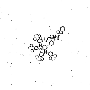 CC1(C)c2cc(-c3cc4c5c(c3)N(c3ccc6c(c3)OCCCO6)c3cc6c(cc3B5c3cc5c(cc3N4c3ccc4c(c3)OCCCO4)OCCCO5)OCCCO6)ccc2-c2ccc(-c3cc4ccccc4o3)cc21